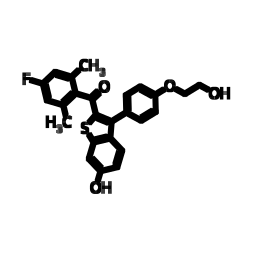 Cc1cc(F)cc(C)c1C(=O)c1sc2cc(O)ccc2c1-c1ccc(OCCO)cc1